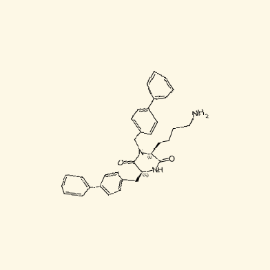 NCCCC[C@H]1C(=O)N[C@@H](Cc2ccc(-c3ccccc3)cc2)C(=O)N1Cc1ccc(-c2ccccc2)cc1